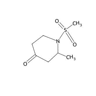 CC1CC(=O)CCN1S(C)(=O)=O